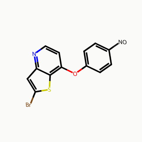 O=Nc1ccc(Oc2ccnc3cc(Br)sc23)cc1